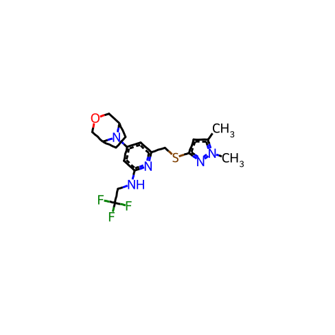 Cc1cc(SCc2cc(N3C4CCC3COC4)cc(NCC(F)(F)F)n2)nn1C